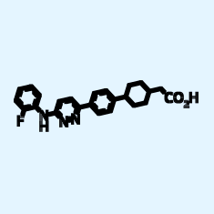 O=C(O)CC1CCC(c2ccc(-c3ccc(Nc4ccccc4F)nn3)cc2)CC1